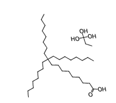 CCC(O)(O)O.CCCCCCCCC(CCCCCCCC)(CCCCCCCC)CCCCCCCCC(=O)O